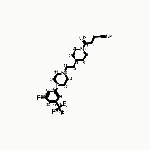 N#CCCC(=O)N1CCC(CCN2CCN(c3cc(F)cc(C(F)(F)F)c3)CC2)CC1